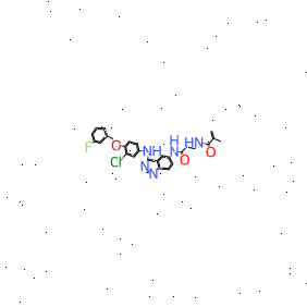 C=C(C)C(=O)NCCC(=O)Nc1ccc2ncnc(Nc3ccc(OCc4cccc(F)c4)c(Cl)c3)c2c1